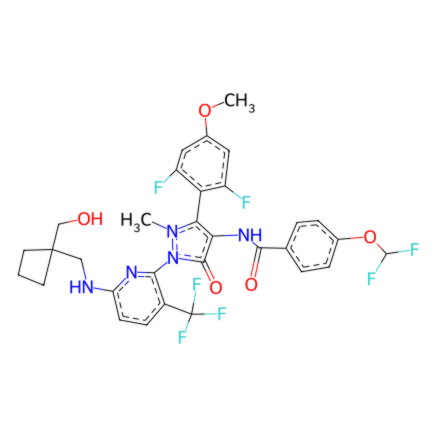 COc1cc(F)c(-c2c(NC(=O)c3ccc(OC(F)F)cc3)c(=O)n(-c3nc(NCC4(CO)CCC4)ccc3C(F)(F)F)n2C)c(F)c1